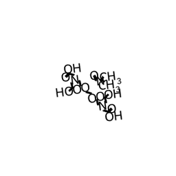 CN(C)C=O.O=C(O)CN(CCOCCOCCN(CC(=O)O)CC(=O)O)CC(=O)O